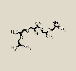 CCCC(OCC(C)OCC(C)N)C(CC)COCC(C)OCC(C)N